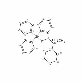 C[SiH](CC[Si](c1ccccc1)(c1ccccc1)c1ccccc1)C1CCCCO1